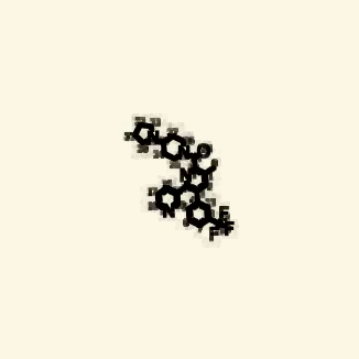 Cc1cc(-c2cccc(C(F)(F)F)c2)c(-c2cccnc2)nc1C(=O)N1CCC(N2CCCC2)CC1